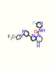 O=C(Nc1cncc(F)c1)N1CCCNc2ccc(-c3ccnc(N4CCC(C(F)(F)F)C4)c3)nc21